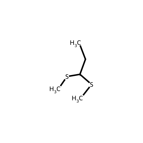 CC[C](SC)SC